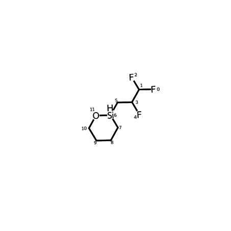 FC(F)C(F)C[SiH]1CCCCO1